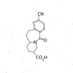 N#Cc1ccc2c(c1)CCC1CCC(C(=O)O)CN1C2=O